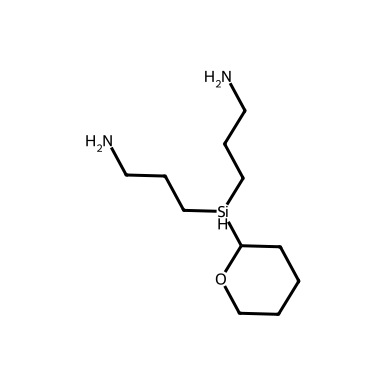 NCCC[SiH](CCCN)C1CCCCO1